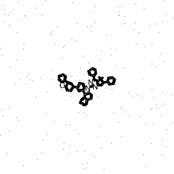 CC1(C)C(c2ccccc2)=Cc2nc(-n3c4ccc(-c5ccc6oc7ccccc7c6c5)cc4c4c5ccccc5ccc43)nc(-c3ccccc3)c21